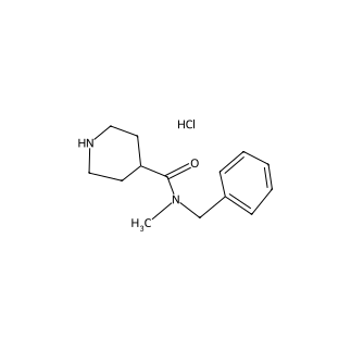 CN(Cc1ccccc1)C(=O)C1CCNCC1.Cl